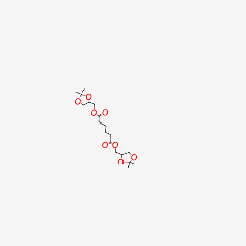 CC1(C)OCC(COC(=O)CCCCC(=O)OCC2COC(C)(C)O2)O1